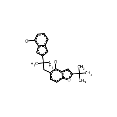 CC(C)(C)c1cc2c(Cl)c(CC(C)(C)c3cc4cccc(Cl)c4s3)ccc2o1